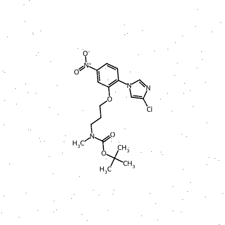 CN(CCCOc1cc([N+](=O)[O-])ccc1-n1cnc(Cl)c1)C(=O)OC(C)(C)C